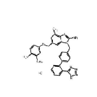 CCCc1nc2c(C)cc(COc3ccc(N)c(NC)c3)cc2n1Cc1ccc(-c2ccccc2-c2nnn[nH]2)cc1.Cl